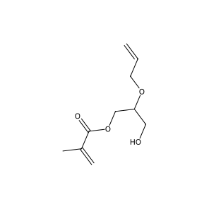 C=CCOC(CO)COC(=O)C(=C)C